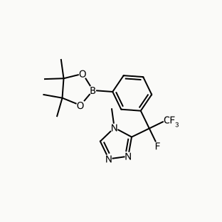 Cn1cnnc1C(F)(c1cccc(B2OC(C)(C)C(C)(C)O2)c1)C(F)(F)F